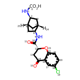 O=C(O)N[C@H]1C[C@H]2C[C@@H]1C[C@@H]2NC(=O)[C@H]1CC(=O)c2cc(Cl)ccc2O1